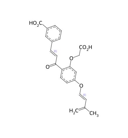 C=C(C)/C=C/Oc1ccc(C(=O)/C=C/c2cccc(C(=O)O)c2)c(OCC(=O)O)c1